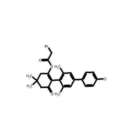 Cc1cc(-c2ccc(Cl)cc2)cc(C)c1C1=C(OC(=O)CC(C)C)CC(C)(C)CC1=O